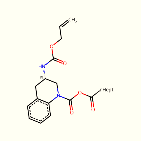 C=CCOC(=O)N[C@H]1Cc2ccccc2N(C(=O)OC(=O)CCCCCCC)C1